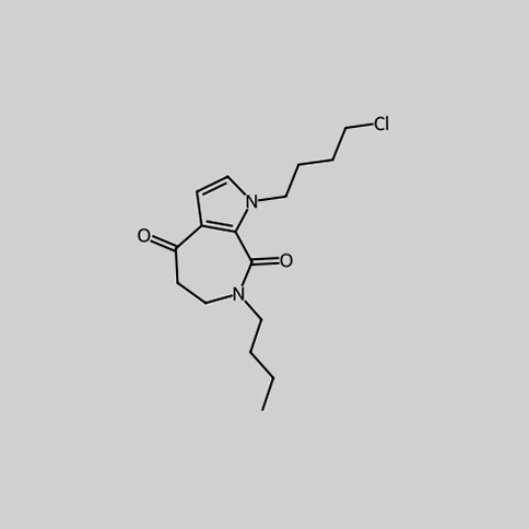 CCCCN1CCC(=O)c2ccn(CCCCCl)c2C1=O